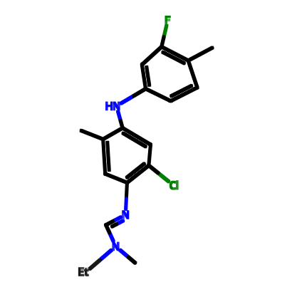 CCN(C)C=Nc1cc(C)c(Nc2ccc(C)c(F)c2)cc1Cl